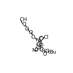 C#CCOCCOCCOCCOCCn1c(CN2C(=O)C3(CCN(C(=O)OC(C)(C)C)CC3)c3ccncc32)nc2cc(Cl)ccc21